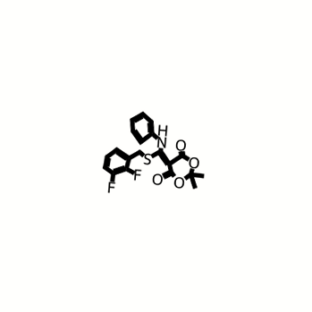 CC1(C)OC(=O)C(=C(Nc2ccccc2)SCc2cccc(F)c2F)C(=O)O1